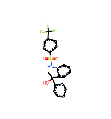 CC(O)(c1ccccc1)c1ccccc1NS(=O)(=O)c1ccc(C(F)(F)F)cc1